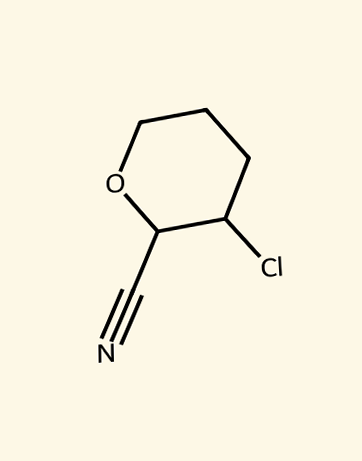 N#CC1OCCCC1Cl